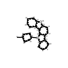 Cc1ccc(-n2c3ccccc3c3ccc4oc5ccccc5c4c32)cc1